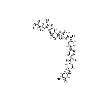 CC[C@@]1(O)C(=O)OCc2c1cc1n(c2=O)Cc2cc3c(CN4CCN(C(=O)N5CCN(c6ccc(C(=O)N[C@H]7CC[C@H](Oc8ccc(C#N)c(Cl)c8)CC7)nn6)CC5)CC4)c(O)ccc3nc2-1